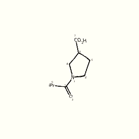 CC(C)C(=O)N1CCC(C(=O)O)C1